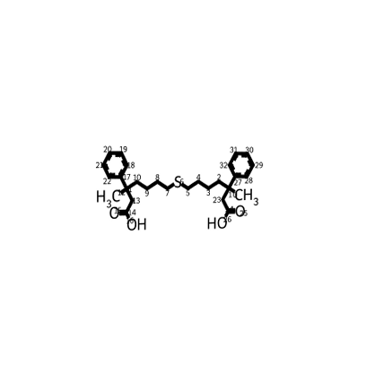 CC(CCCCSCCCCC(C)(CC(=O)O)c1ccccc1)(CC(=O)O)c1ccccc1